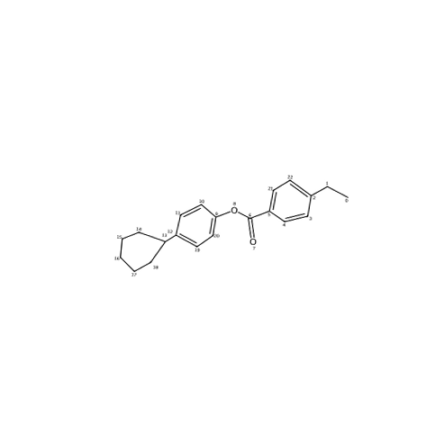 CCc1ccc(C(=O)Oc2ccc(C3CCCCC3)cc2)cc1